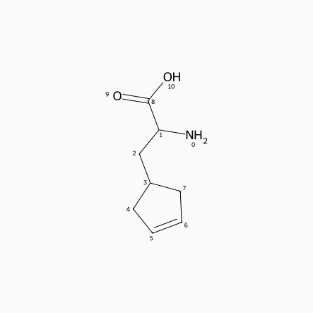 NC(CC1CC=CC1)C(=O)O